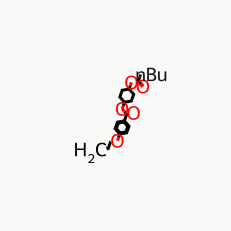 C=CCOc1ccc(C(=O)OC2CCC(OC(=O)CCCC)CC2)cc1